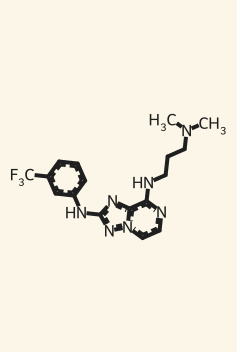 CN(C)CCCNc1nccn2nc(Nc3cccc(C(F)(F)F)c3)nc12